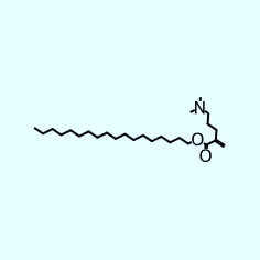 C=C(CCCN(C)C)C(=O)OCCCCCCCCCCCCCCCCCC